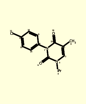 Cc1cn(C(C)C)c(=O)n(-c2ccc(Cl)cc2)c1=O